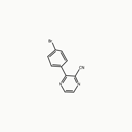 N#Cc1nccnc1-c1ccc(Br)cc1